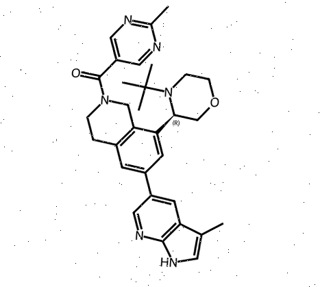 Cc1ncc(C(=O)N2CCc3cc(-c4cnc5[nH]cc(C)c5c4)cc([C@@H]4COCCN4C(C)(C)C)c3C2)cn1